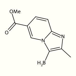 Bc1c(C)nc2ccc(C(=O)OC)cn12